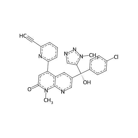 C#Cc1cccc(-c2cc(=O)n(C)c3ncc([C@](O)(c4ccc(Cl)cc4)c4cnnn4C)cc23)n1